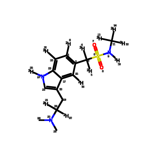 [2H]c1c(C([2H])([2H])S(=O)(=O)N([2H])C([2H])([2H])[2H])c([2H])c2c(CC([2H])([2H])N(C)C)cn([2H])c2c1[2H]